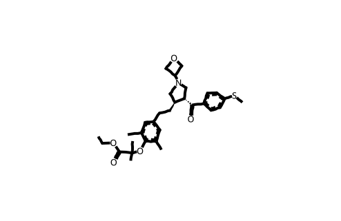 CCOC(=O)C(C)(C)Oc1c(C)cc(CC[C@H]2CN(C3COC3)C[C@@H]2C(=O)c2ccc(SC)cc2)cc1C